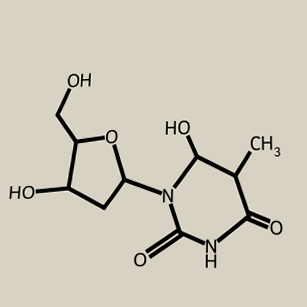 CC1C(=O)NC(=O)N(C2CC(O)C(CO)O2)C1O